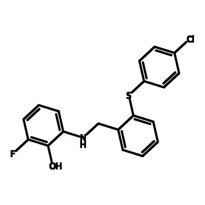 Oc1c(F)cccc1NCc1ccccc1Sc1ccc(Cl)cc1